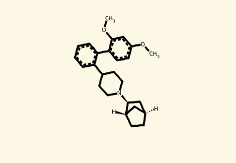 COc1ccc(-c2ccccc2C2CCN([C@H]3C[C@H]4CC[C@H]3C4)CC2)c(OC)c1